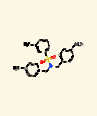 CCOC(=O)c1ccc(CN(Cc2ccc(C)cc2)S(=O)(=O)c2cccc(C)c2)cc1